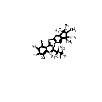 [2H]c1c([2H])c([2H])c2c(nc(C(C)(C)C([2H])([2H])[2H])n3c4cc5c(cc4nc23)C(C)(C)C(C)C5(C)C)c1[2H]